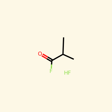 CC(C)C(=O)F.F